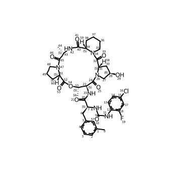 Cc1cccc(C[C@H](NC(=O)Nc2ccc(Cl)cc2F)C(=O)N[C@@H]2C(=O)N3C[C@H](O)C[C@H]3C(=O)N3CCCC[C@H]3C(=O)N[C@@H](C)C(=O)N3CCC[C@H]3C(=O)O[C@H]2C)c1